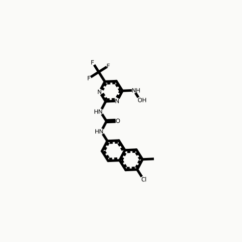 Cc1cc2cc(NC(=O)Nc3nc(NO)cc(C(F)(F)F)n3)ccc2cc1Cl